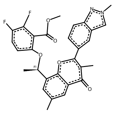 COC(=O)c1c(O[C@H](C)c2cc(C)cc3c(=O)c(C)c(-c4ccc5nn(C)cc5c4)oc23)ccc(F)c1F